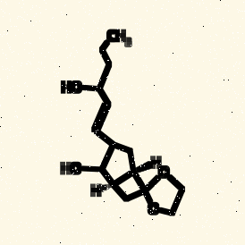 CCCC(O)C=CC1C[C@H]2[C@@H](CC23OCCO3)C1O